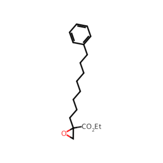 CCOC(=O)C1(CCCCCCCCc2ccccc2)CO1